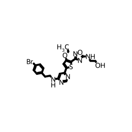 CCOc1cc(-c2cc(NCCc3ccc(Br)cc3)ncn2)sc1-c1noc(NCCO)n1